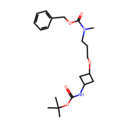 CN(CCCOC1CC(NC(=O)OC(C)(C)C)C1)C(=O)OCc1ccccc1